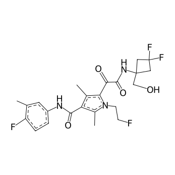 Cc1cc(NC(=O)c2c(C)c(C(=O)C(=O)NC3(CO)CC(F)(F)C3)n(CCF)c2C)ccc1F